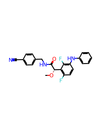 CO[C@H](C(=O)NCc1ccc(C#N)cc1)c1c(F)ccc(Nc2ccccc2)c1F